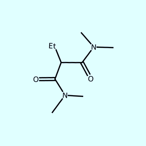 CCC(C(=O)N(C)C)C(=O)N(C)C